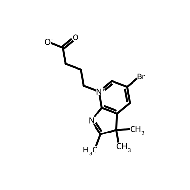 CC1=Nc2c(cc(Br)c[n+]2CCCC(=O)[O-])C1(C)C